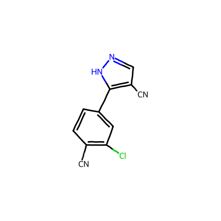 N#Cc1ccc(-c2[nH]ncc2C#N)cc1Cl